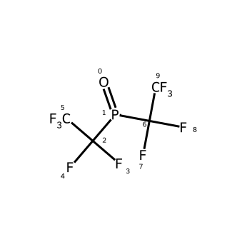 O=[P](C(F)(F)C(F)(F)F)C(F)(F)C(F)(F)F